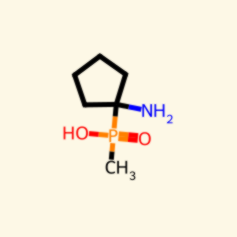 CP(=O)(O)C1(N)CCCC1